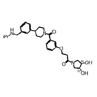 CC(C)NCc1cccc(C2CCN(C(=O)c3cccc(OCCC(=O)N4C[C@@H](O)[C@@H](O)C4)c3)CC2)c1